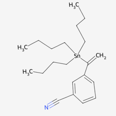 C=[C](c1cccc(C#N)c1)[Sn]([CH2]CCC)([CH2]CCC)[CH2]CCC